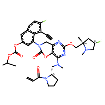 C#Cc1c(F)ccc2cc(OC(=O)OC(C)C)cc(N3Cc4nc(OC[C@]5(C)C[C@@H](F)CN5C)nc(N(C)C[C@@H]5CCCN5C(=O)C=C)c4OC3=O)c12